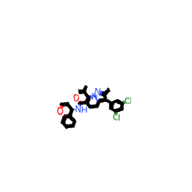 C=C(C)c1c(C(=O)N[C@H]2CCOc3ccccc32)ccc2c(-c3cc(Cl)cc(Cl)c3)c(C)nn12